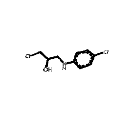 OC(CCl)CNc1ccc(Cl)cc1